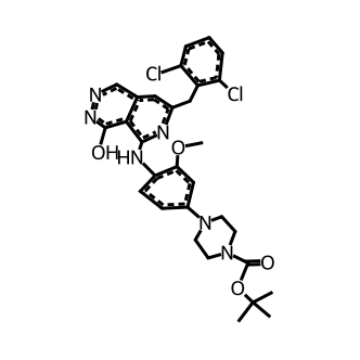 COc1cc(N2CCN(C(=O)OC(C)(C)C)CC2)ccc1Nc1nc(Cc2c(Cl)cccc2Cl)cc2cnnc(O)c12